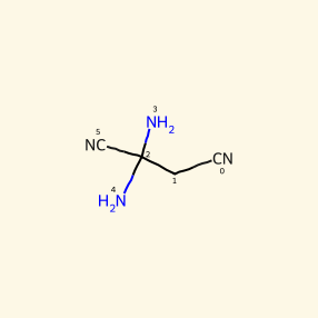 N#CCC(N)(N)C#N